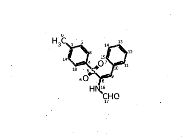 Cc1ccc(S(=O)(=O)/C(=C\c2ccccc2)NC=O)cc1